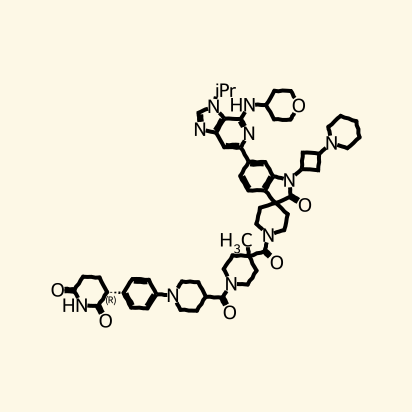 CC(C)n1cnc2cc(-c3ccc4c(c3)N(C3CC(N5CCCCC5)C3)C(=O)C43CCN(C(=O)C4(C)CCN(C(=O)C5CCN(c6ccc([C@H]7CCC(=O)NC7=O)cc6)CC5)CC4)CC3)nc(NC3CCOCC3)c21